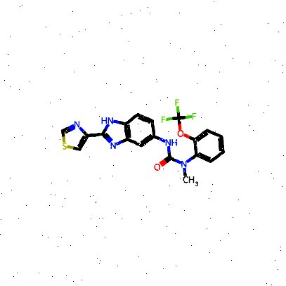 CN(C(=O)Nc1ccc2[nH]c(-c3cscn3)nc2c1)c1ccccc1OC(F)(F)F